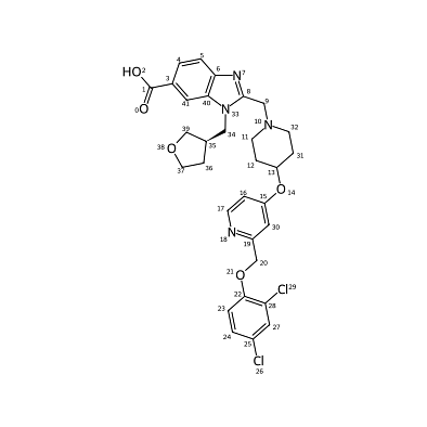 O=C(O)c1ccc2nc(CN3CCC(Oc4ccnc(COc5ccc(Cl)cc5Cl)c4)CC3)n(C[C@H]3CCOC3)c2c1